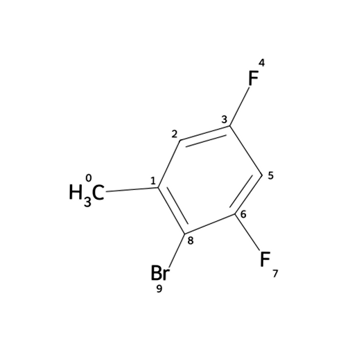 Cc1cc(F)cc(F)c1Br